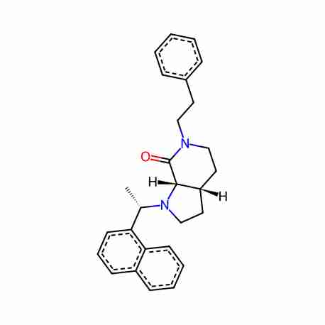 C[C@@H](c1cccc2ccccc12)N1CC[C@H]2CCN(CCc3ccccc3)C(=O)[C@H]21